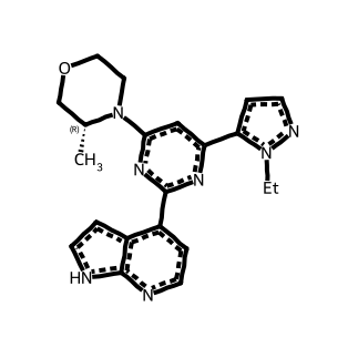 CCn1nccc1-c1cc(N2CCOC[C@H]2C)nc(-c2ccnc3[nH]ccc23)n1